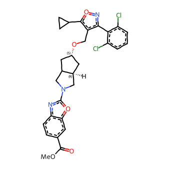 COC(=O)c1ccc2nc(N3CC4C[C@H](OCc5c(-c6c(Cl)cccc6Cl)noc5C5CC5)C[C@H]4C3)oc2c1